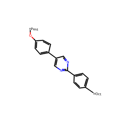 CCCCCCCCc1ccc(-c2ncc(-c3ccc(OCCCCC)cc3)cn2)cc1